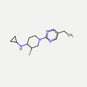 CCc1cnc(N2CCC(NC3CC3)C(F)C2)nc1